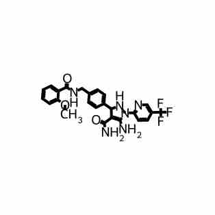 COc1ccccc1C(=O)NCc1ccc(C2NN(c3ccc(C(F)(F)F)cn3)C(N)=C2C(N)=O)cc1